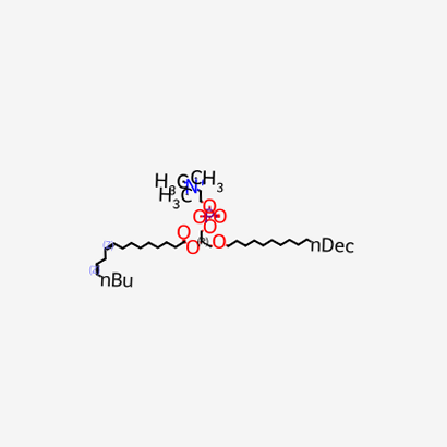 CCCC/C=C\C/C=C\CCCCCCCC(=O)O[C@H](COCCCCCCCCCCCCCCCCCCCC)COP(=O)([O-])OCC[N+](C)(C)C